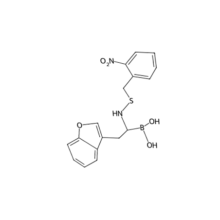 O=[N+]([O-])c1ccccc1CSNC(Cc1coc2ccccc12)B(O)O